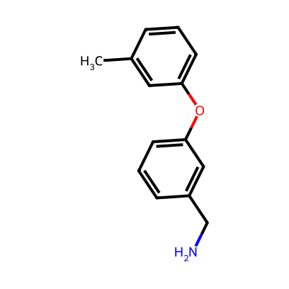 Cc1cccc(Oc2cccc(CN)c2)c1